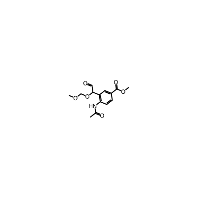 COCOC(C=O)c1cc(C(=O)OC)ccc1NC(C)=O